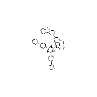 c1ccc(-c2ccc(-c3nc(-c4ccc(-c5ccccc5)cc4)nc(-n4c5cccc6ccc7cc(-c8ccc9sc%10ccccc%10c9c8)cc4c7c65)n3)cc2)cc1